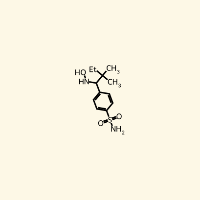 CCC(C)(C)C(NO)c1ccc(S(N)(=O)=O)cc1